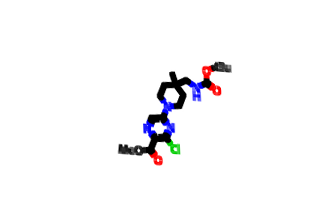 COC(=O)c1ncc(N2CCC(C)(CNC(=O)OC(C)(C)C)CC2)nc1Cl